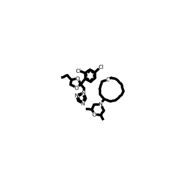 CC1CN(C2CCCCCCCCCCC2)CC(C)O1.CCC1COC(Cn2cncn2)(c2ccc(Cl)cc2Cl)O1